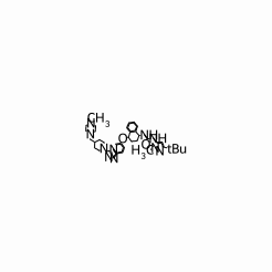 CN1CCN(CC2CCN(c3nnc4ccc(O[C@@H]5CC[C@H](NC(=O)Nc6cc(C(C)(C)C)nn6C)c6ccccc65)cn34)CC2)CC1